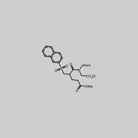 CCCCCN(CC(=O)OCC)C(=O)C(CCC(=O)OC)CS(=O)(=O)c1ccc2ccccc2c1